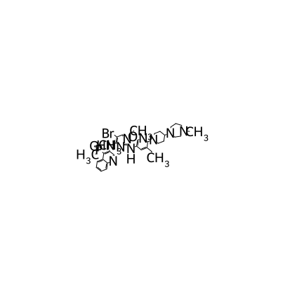 CCc1cc(Nc2ncc(Br)c(Nc3cnc4ccccc4c3P(C)(C)=O)n2)c(OC)nc1N1CCC(N2CCCN(C)CC2)CC1